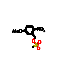 COc1ccc([N+](=O)[O-])c(COS(C)(=O)=O)c1